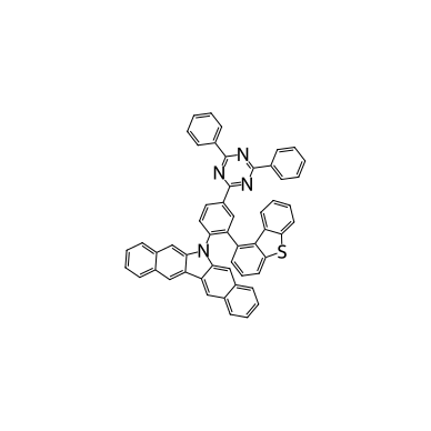 c1ccc(-c2nc(-c3ccccc3)nc(-c3ccc(-n4c5cc6ccccc6cc5c5cc6ccccc6cc54)c(-c4cccc5sc6ccccc6c45)c3)n2)cc1